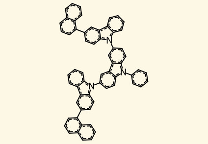 c1ccc(-n2c3ccc(-n4c5ccccc5c5cc(-c6cccc7ccccc67)ccc54)cc3c3cc(-n4c5ccccc5c5cc(-c6cccc7ccccc67)ccc54)ccc32)cc1